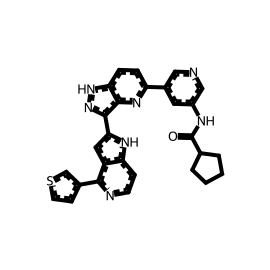 O=C(Nc1cncc(-c2ccc3[nH]nc(-c4cc5c(-c6ccsc6)nccc5[nH]4)c3n2)c1)C1CCCC1